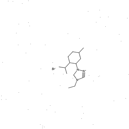 CCN1C#[N+]N(C2CC(C)CCC2C(C)C)C1.[Br-]